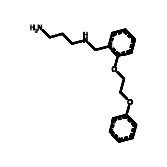 NCCCNCc1ccccc1OCCOc1ccccc1